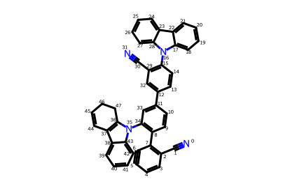 N#Cc1ccc#cc1-c1ccc(-c2ccc(-n3c4ccccc4c4ccccc43)c(C#N)c2)cc1-n1c2c(c3ccccc31)C=CCC2